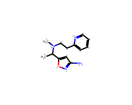 CC(c1cc(N)no1)N(C)CCc1ccccn1